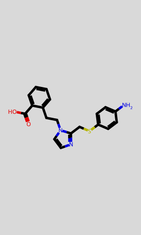 Nc1ccc(SCc2nccn2CCc2ccccc2C(=O)O)cc1